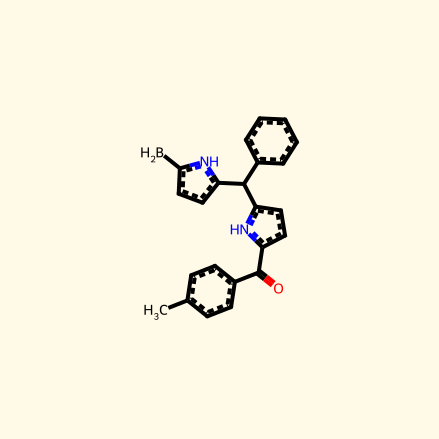 Bc1ccc(C(c2ccccc2)c2ccc(C(=O)c3ccc(C)cc3)[nH]2)[nH]1